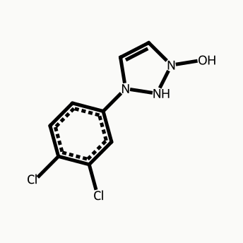 ON1C=CN(c2ccc(Cl)c(Cl)c2)N1